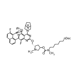 C#Cc1c(F)ccc2cccc(-c3nc(OC(C)C)c4c(N5CC6CCC(C5)N6)nc(OC[C@@H]5C[C@@H](OC(=O)N(C)CCCCCCCCCCCCCCCC)CN5C)nc4c3F)c12